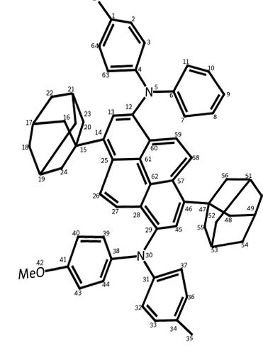 COc1ccc(N(c2ccccc2)c2cc(C34CC5CC(CC(C5)C3)C4)c3ccc4c(N(c5ccc(C)cc5)c5ccc(OC)cc5)cc(C56CC7CC(CC(C7)C5)C6)c5ccc2c3c45)cc1